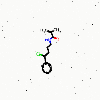 C=C(C)C(=O)NCCCC(Cl)c1ccccc1